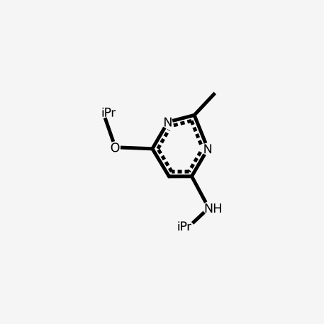 Cc1nc(NC(C)C)cc(OC(C)C)n1